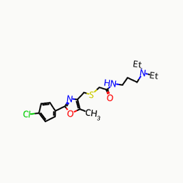 CCN(CC)CCCNC(=O)CSCc1nc(-c2ccc(Cl)cc2)oc1C